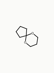 [CH]1CCCC12OCCCO2